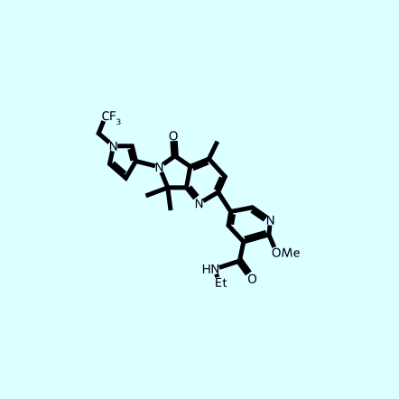 CCNC(=O)c1cc(-c2cc(C)c3c(n2)C(C)(C)N(c2ccn(CC(F)(F)F)c2)C3=O)cnc1OC